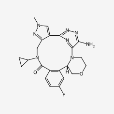 Cn1cc2c(n1)CN(C1CC1)C(=O)c1ccc(F)cc1[C@H]1COCCN1c1nc-2nnc1N